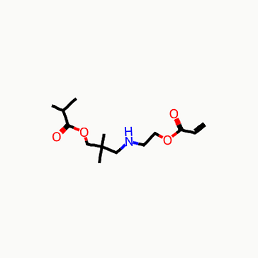 C=CC(=O)OCCNCC(C)(C)COC(=O)C(C)C